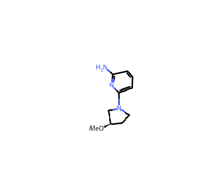 CO[C@@H]1CCN(c2cccc(N)n2)C1